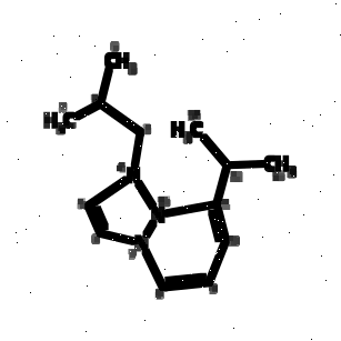 CC(C)CN1C=CN2C=CC=C(C(C)C)N21